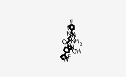 NC(Cc1nc(-c2ccc(F)cn2)no1)C(=O)n1nc(O)c2c1CCC(c1cccnc1F)C2